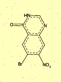 O=c1[nH]cnc2cc([N+](=O)[O-])c(Br)cc12